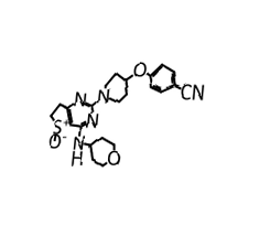 N#Cc1ccc(OC2CCN(c3nc4c(c(NC5CCOCC5)n3)[S+]([O-])CC4)CC2)cc1